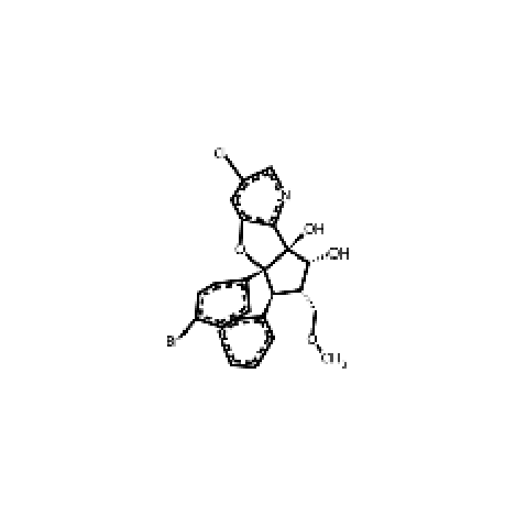 COC[C@H]1[C@@H](O)[C@@]2(O)c3ncc(Cl)cc3O[C@@]2(c2ccc(Br)cc2)[C@@H]1c1ccccc1